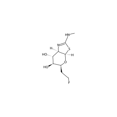 CNC1=N[C@@H]2[C@@H](O)[C@H](O)[C@H](CCF)O[C@@H]2S1